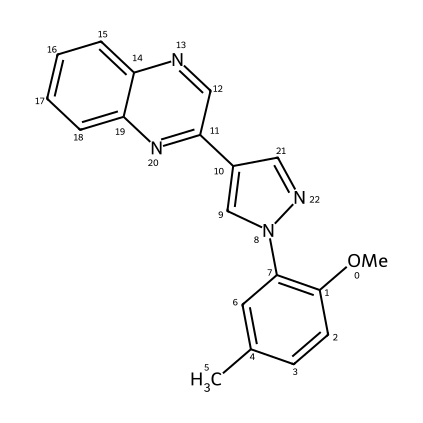 COc1ccc(C)cc1-n1cc(-c2cnc3ccccc3n2)cn1